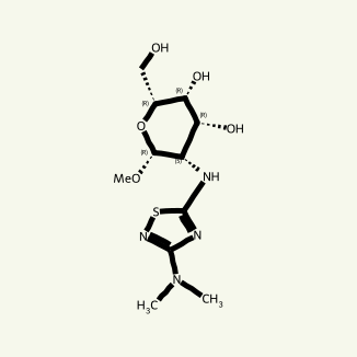 CO[C@@H]1O[C@H](CO)[C@H](O)[C@H](O)[C@@H]1Nc1nc(N(C)C)ns1